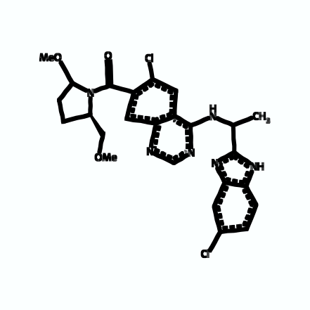 COC[C@H]1CCC(OC)N1C(=O)c1cc2ncnc(NC(C)c3nc4cc(Cl)ccc4[nH]3)c2cc1Cl